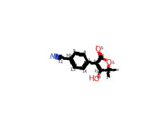 CC1(C)OC(=O)C(c2ccc(C#N)cc2)=C1O